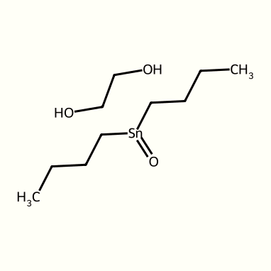 CCC[CH2][Sn](=[O])[CH2]CCC.OCCO